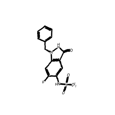 O=c1[nH]n(Cc2ccccc2)c2cc(F)c(NS(=O)(=O)C(F)(F)F)cc12